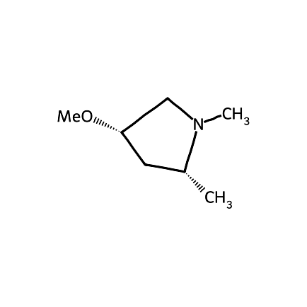 CO[C@H]1C[C@@H](C)N(C)C1